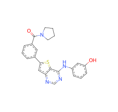 O=C(c1cccc(-c2cc3ncnc(Nc4cccc(O)c4)c3s2)c1)N1CCCC1